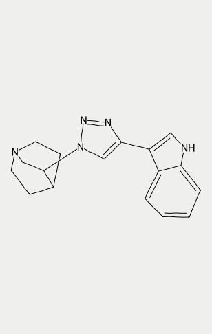 c1ccc2c(-c3cn(C4CN5CCC4CC5)nn3)c[nH]c2c1